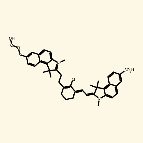 CN1/C(=C/C=C2\CCCC(CCC3=[N+](C)c4ccc5cc(SOOO)ccc5c4C3(C)C)=C2Cl)C(C)(C)c2c1ccc1cc(S(=O)(=O)O)ccc21